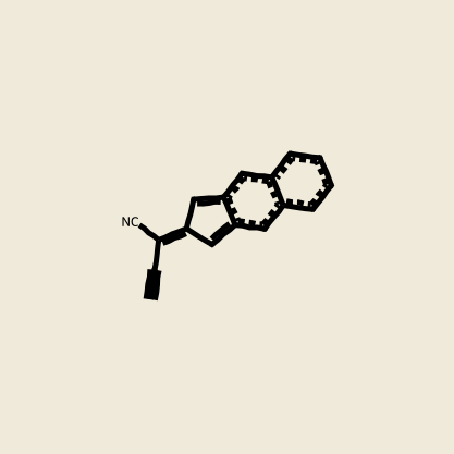 C#CC(C#N)=C1C=c2cc3ccccc3cc2=C1